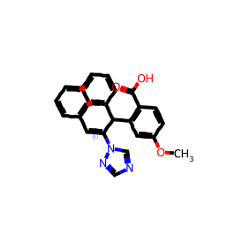 COc1ccc(C(=O)O)c(C(/C(=C\c2ccccc2)n2cncn2)c2ccccc2)c1